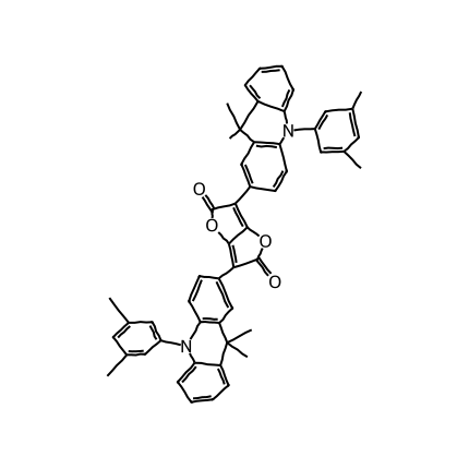 Cc1cc(C)cc(N2c3ccccc3C(C)(C)c3cc(C4=C5OC(=O)C(c6ccc7c(c6)C(C)(C)c6ccccc6N7c6cc(C)cc(C)c6)=C5OC4=O)ccc32)c1